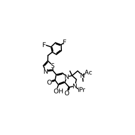 CC(=O)N(C)CC1(C)CN(C(C)C)C(=O)c2c(O)c(=O)c(-c3ncc(Cc4ccc(F)cc4F)s3)cn21